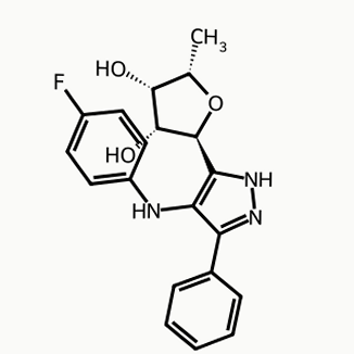 C[C@@H]1O[C@@H](c2[nH]nc(-c3ccccc3)c2Nc2ccc(F)cc2)[C@H](O)[C@@H]1O